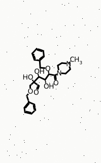 CN1CCN(C(=O)[C@H](OCc2ccccc2)[C@@H](O)[C@H](O)[C@](O)(C=O)COCc2ccccc2)CC1